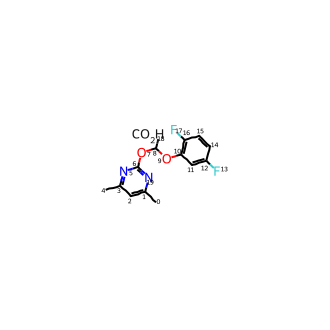 Cc1cc(C)nc(OC(Oc2cc(F)ccc2F)C(=O)O)n1